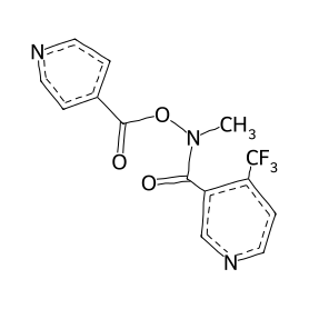 CN(OC(=O)c1ccncc1)C(=O)c1cnccc1C(F)(F)F